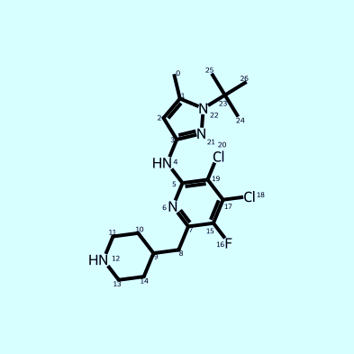 Cc1cc(Nc2nc(CC3CCNCC3)c(F)c(Cl)c2Cl)nn1C(C)(C)C